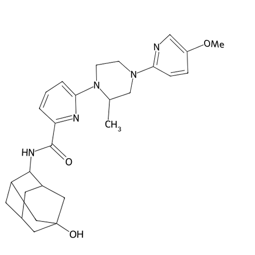 COc1ccc(N2CCN(c3cccc(C(=O)NC4C5CC6CC4CC(O)(C6)C5)n3)C(C)C2)nc1